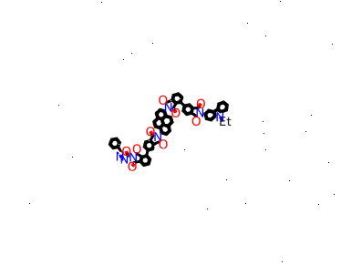 CCn1c2ccccc2c2cc(N3C(=O)c4ccc(-c5cccc6c5C(=O)N(c5ccc7ccc8c(N9C(=O)c%10ccc(-c%11cccc%12c%11C(=O)N(c%11nnc(-c%13ccccc%13)o%11)C%12=O)cc%10C9=O)ccc9ccc5c7c98)C6=O)cc4C3=O)ccc21